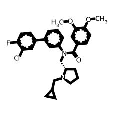 COc1ccc(C(=O)N(C[C@@H]2CCCN2CC2CC2)c2cccc(-c3ccc(F)c(Cl)c3)c2)cc1OC